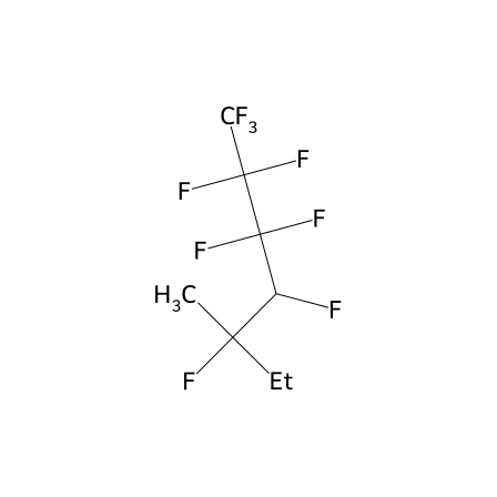 CCC(C)(F)C(F)C(F)(F)C(F)(F)C(F)(F)F